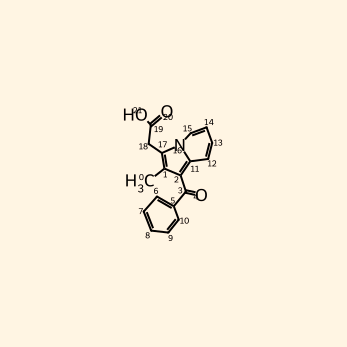 Cc1c(C(=O)c2ccccc2)c2ccccn2c1CC(=O)O